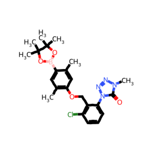 Cc1cc(B2OC(C)(C)C(C)(C)O2)c(C)cc1OCc1c(Cl)cccc1-n1nnn(C)c1=O